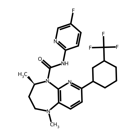 C[C@@H]1CCN(C)c2ccc(C3CCCC(C(F)(F)F)C3)nc2N1C(=O)Nc1ccc(F)cn1